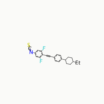 CCC1CCC(c2ccc(C#Cc3c(F)cc(N=C=S)cc3F)cc2)CC1